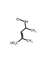 CCNC(C)C=C(C)C(=O)O